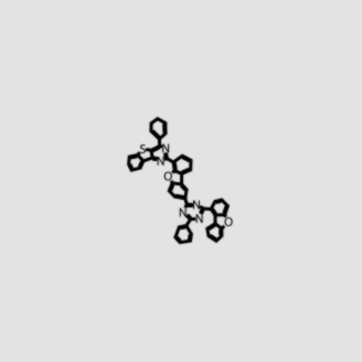 C1=CC(c2nc(-c3cccc4c3oc3ccc(-c5nc(-c6ccccc6)nc(-c6cccc7oc8ccccc8c67)n5)cc34)nc3c2sc2ccccc23)=CCC1